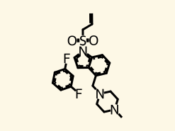 C=CCS(=O)(=O)n1ccc2c(CN3CCN(C)CC3)cccc21.Fc1cccc(F)c1